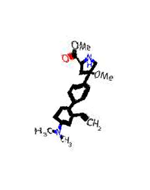 C=Cc1cc(N(C)C)ccc1-c1ccc([C@@]2(OC)CN[C@H](C(=O)OC)C2)cc1